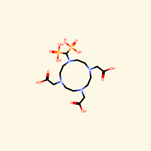 O=C(O)CN1CCN(CC(=O)O)CCN(C(P(=O)(O)O)P(=O)(O)O)CCN(CC(=O)O)CC1